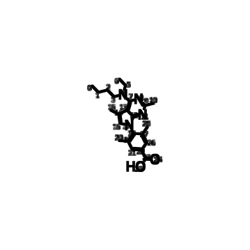 CCCCN(CC)c1nc(C)nc2c1c(C)cn2-c1c(C)cc(C(=O)O)cc1C